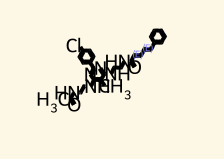 CC(=O)NCCNc1nc(-c2ccc(Cl)cc2)nc(NCCNC(=O)/C=C/C=C/c2ccccc2)c1C